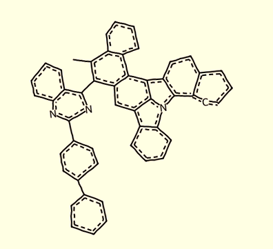 Cc1c(-c2nc(-c3ccc(-c4ccccc4)cc3)nc3ccccc23)c2cc3c4ccccc4n4c5c6ccccc6ccc5c(c2c2ccccc12)c34